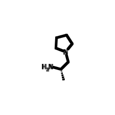 C[C@H](N)CN1CCCC1